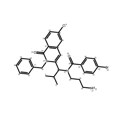 CC(C)C(c1cc2cc(Cl)ccc2c(=O)n1Cc1ccccc1)N(CCCN)C(=O)c1ccc(Br)cc1